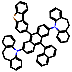 C1=CC2=C(CC1)CCc1ccccc1N2c1ccc2c(-c3cccc4ccccc34)c3cc(N4C5=C(CCC=C5)CCc5ccccc54)ccc3c(-c3ccc4sc5ccccc5c4c3)c2c1